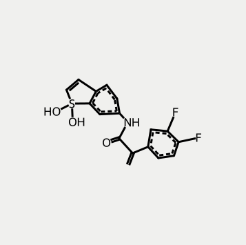 C=C(C(=O)Nc1ccc2c(c1)S(O)(O)C=C2)c1ccc(F)c(F)c1